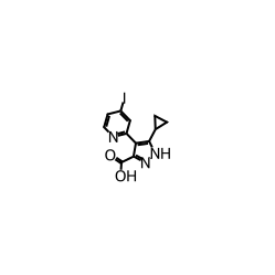 O=C(O)c1n[nH]c(C2CC2)c1-c1cc(I)ccn1